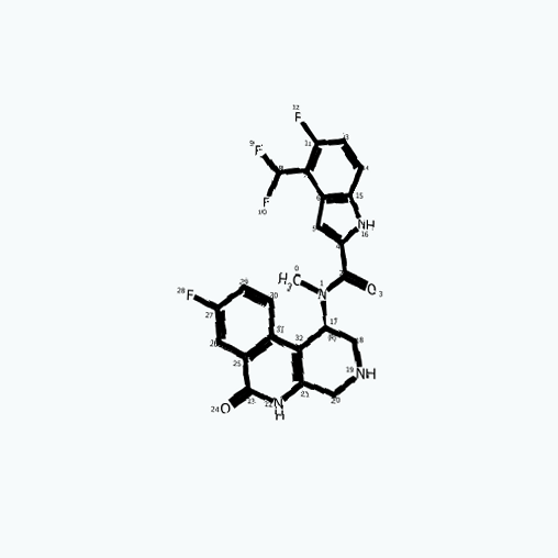 CN(C(=O)c1cc2c(C(F)F)c(F)ccc2[nH]1)[C@H]1CNCc2[nH]c(=O)c3cc(F)ccc3c21